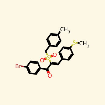 CSc1ccc(C=C(C(=O)c2ccc(Br)cc2)S(=O)(=O)Cc2ccc(C)cc2)cc1